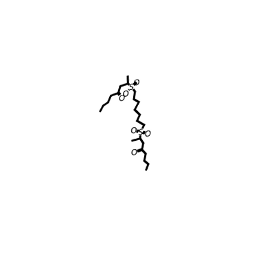 CCCCC(=O)CC(C)S(=O)(=O)CCCCCCCS(=O)(=O)C(C)CC(=O)CCCC